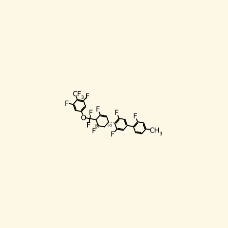 Cc1ccc(-c2cc(F)c([C@H]3C=C(F)C(C(F)(F)Oc4cc(F)c(C(F)(F)F)c(F)c4)[C@@H](F)C3)c(F)c2)c(F)c1